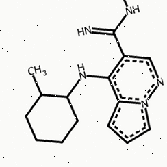 CC1CCCCC1Nc1c(C(=N)NO)cnn2cccc12